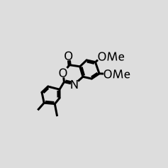 COc1cc2nc(-c3ccc(C)c(C)c3)oc(=O)c2cc1OC